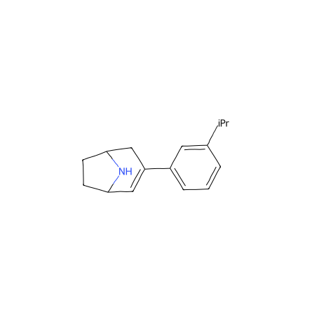 CC(C)c1cccc(C2=CC3CCC(C2)N3)c1